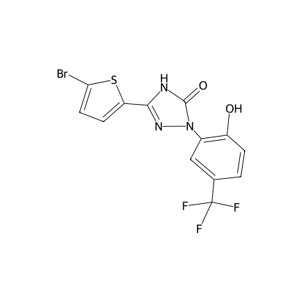 O=c1[nH]c(-c2ccc(Br)s2)nn1-c1cc(C(F)(F)F)ccc1O